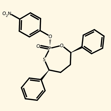 O=[N+]([O-])c1ccc(O[P@]2(=O)O[C@@H](c3ccccc3)CC[C@@H](c3ccccc3)S2)cc1